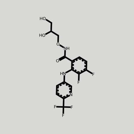 O=C(NOCC(O)CO)c1ccc(F)c(F)c1Nc1ccc(C(F)(F)F)nc1